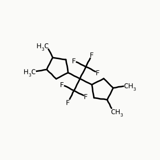 CC1CC(C(C2CC(C)C(C)C2)(C(F)(F)F)C(F)(F)F)CC1C